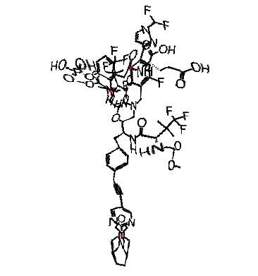 COC(=O)N[C@H](C(=O)N[C@@H](Cc1ccc(C#Cc2cnc(N3CC4CCC(C3)N4C3COC3)nc2)cc1)[C@H](CN(Cc1c(F)cc(-c2ccn(C(F)F)n2)cc1F)NC(=O)[C@@H](NC(=O)OC)C(C)(C)C(F)(F)F)OC(=O)CC(C)(C)c1c(CC(=O)N[C@@H](CCC(=O)O)C(=O)O)cccc1OP(=O)(O)O)C(C)(C)C(F)(F)F